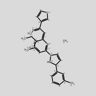 C.CCC(C)C(=C\C(=N/C)c1ccoc1)/N=C(\C=C(C)C)N1C=CC(c2cccc(C)c2)N1